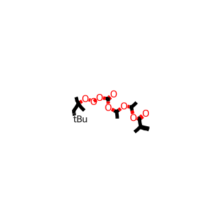 C=C(C)C(=O)OC(C)OC(C)OC(=O)OOOC(C)(C)CC(C)(C)C